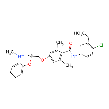 Cc1cc(OC[C@@H]2CN(C)c3ccccc3O2)cc(C)c1C(=O)Nc1ccc(Cl)c(CC(=O)O)c1